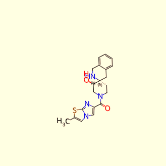 Cc1cn2cc(C(=O)N3CC[C@]4(Cc5ccccc5CN4)[C@H](O)C3)nc2s1